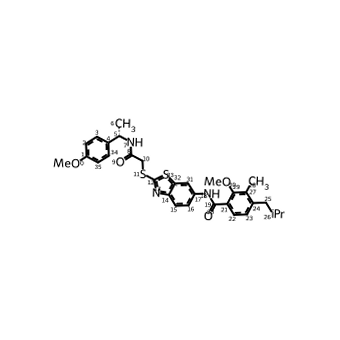 COc1ccc([C@H](C)NC(=O)CSc2nc3ccc(NC(=O)c4ccc(CC(C)C)c(C)c4OC)cc3s2)cc1